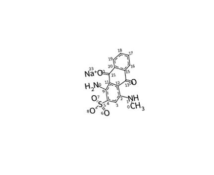 CNc1cc(S(=O)(=O)[O-])c(N)c2c1C(=O)c1ccccc1C2=O.[Na+]